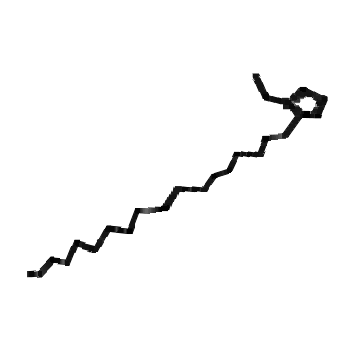 CCCCCCCCCCCCCCCCCCc1cccn1CC